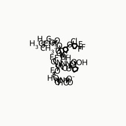 CCOC(=O)COC(=O)c1cc(Oc2ccc(C(F)(F)F)cc2Cl)ccc1[N+](=O)[O-].C[S+](C)C.O=C(Nc1nc(OC(F)F)cc(OC(F)F)n1)NS(=O)(=O)c1ccccc1C(=O)O.O=C(O)CNCP(=O)([O-])O